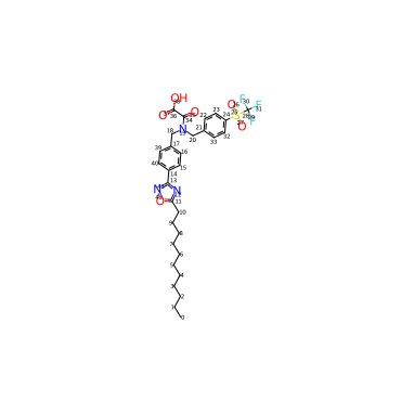 CCCCCCCCCCCc1nc(-c2ccc(CN(Cc3ccc(S(=O)(=O)C(F)(F)F)cc3)C(=O)C(=O)O)cc2)no1